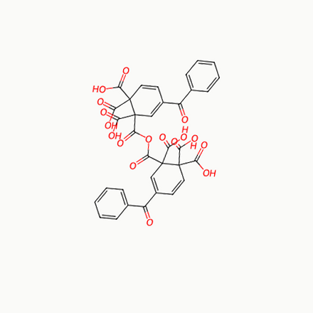 O=C(C1=CC(C(=O)O)(C(=O)OC(=O)C2(C(=O)O)C=C(C(=O)c3ccccc3)C=CC2(C(=O)O)C(=O)O)C(C(=O)O)(C(=O)O)C=C1)c1ccccc1